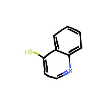 Sc1ccnc2ccccc12